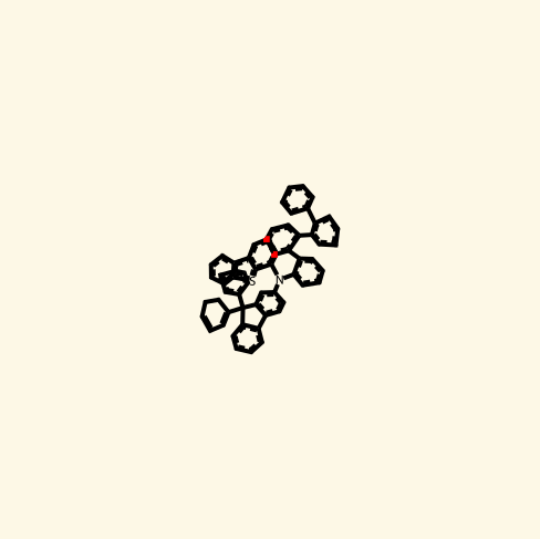 C1=CCCC(C2(c3ccccc3)c3ccccc3-c3ccc(N(c4ccccc4-c4ccccc4-c4ccccc4-c4ccccc4)c4cccc5c4sc4ccccc45)cc32)=C1